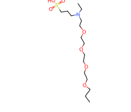 CCCOCCOCCOCCOCCN(CC)CCCS(=O)(=O)O